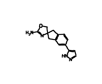 NC1=NC2(CO1)Cc1ccc(-c3ccn[nH]3)cc1C2